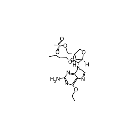 CCCCO[C@H]1[C@H]2OC[C@]1(COS(C)(=O)=O)O[C@H]2n1cnc2c(OCC)nc(N)nc21